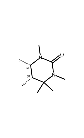 C[C@@H]1[C@H](C)N(C)C(=O)N(C)C1(C)C